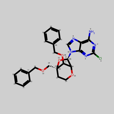 Nc1nc(Cl)nc2c1ncn2[C@@H]1O[C@]2(COCc3ccccc3)CCOC1C2OCc1ccccc1